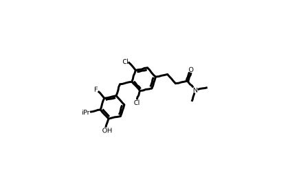 CC(C)c1c(O)ccc(Cc2c(Cl)cc(CCC(=O)N(C)C)cc2Cl)c1F